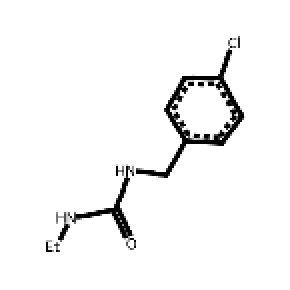 [CH2]CNC(=O)NCc1ccc(Cl)cc1